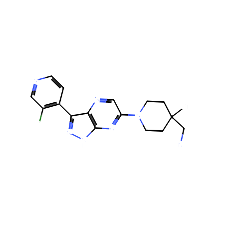 CC1(CN)CCN(c2cnc3c(-c4ccncc4Cl)n[nH]c3n2)CC1